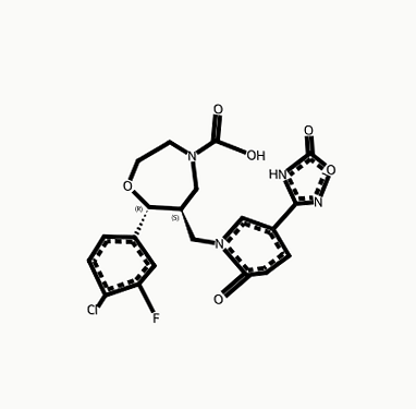 O=C(O)N1CCO[C@@H](c2ccc(Cl)c(F)c2)[C@H](Cn2cc(-c3noc(=O)[nH]3)ccc2=O)C1